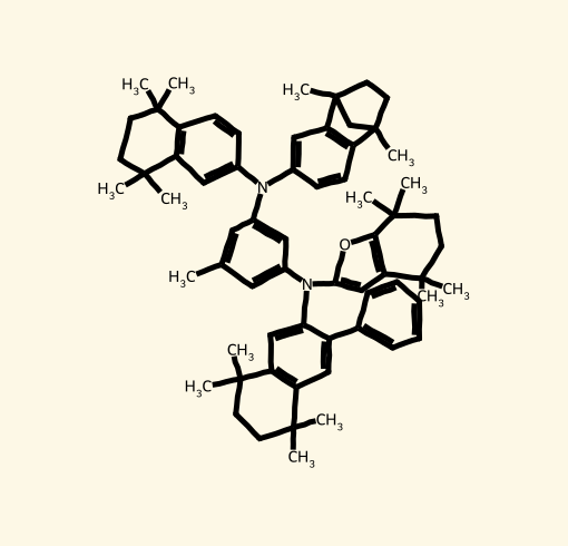 Cc1cc(N(c2ccc3c(c2)C(C)(C)CCC3(C)C)c2ccc3c(c2)C2(C)CCC3(C)C2)cc(N(c2cc3c(o2)C(C)(C)CCC3(C)C)c2cc3c(cc2-c2ccccc2)C(C)(C)CCC3(C)C)c1